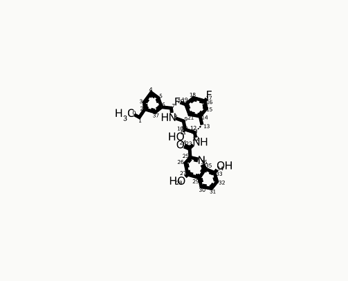 CCc1cccc(CNC[C@H](O)[C@H](Cc2cc(F)cc(F)c2)NC(=O)c2cc(O)c3cccc(O)c3n2)c1